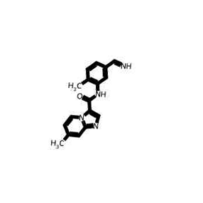 Cc1ccn2c(C(=O)Nc3cc(C=N)ccc3C)cnc2c1